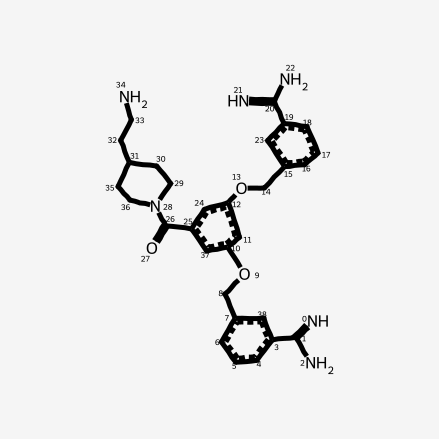 N=C(N)c1cccc(COc2cc(OCc3cccc(C(=N)N)c3)cc(C(=O)N3CCC(CCN)CC3)c2)c1